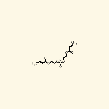 CC=CC(=O)OCCO[PH](=O)OCCOC(=O)C=CC